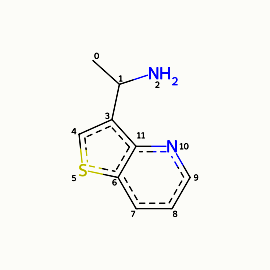 CC(N)c1csc2cccnc12